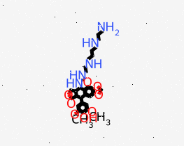 COc1cc(C2c3cc4c(cc3C(NC(=O)NCCNCCCCNCCCN)C3COC(=O)C23)OCO4)cc(OC)c1O